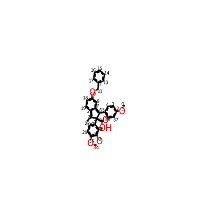 COc1ccc(C2=c3cc(OCc4ccccc4)ccc3=C(C)C2(C(=O)O)c2ccc3c(c2)OCO3)cc1